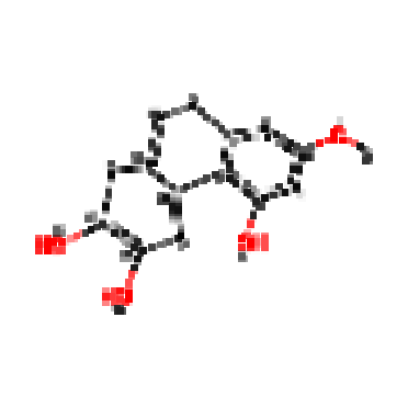 COc1cc(O)c2c(c1)CC=C1CC(O)=C(O)C=C12